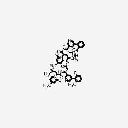 Cc1ccn(C(CC(C)COC(=O)C[C@H](NC(=O)C(CC(C)C)n2ccc(C)cc2=O)c2cncc(-c3c(C)cccc3F)c2)C(=O)N[C@@H](CC(=O)O)c2cncc(-c3ccccc3C#N)c2)c(=O)c1